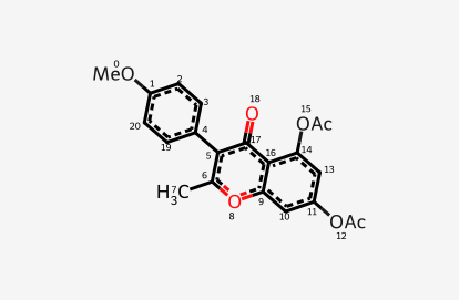 COc1ccc(-c2c(C)oc3cc(OC(C)=O)cc(OC(C)=O)c3c2=O)cc1